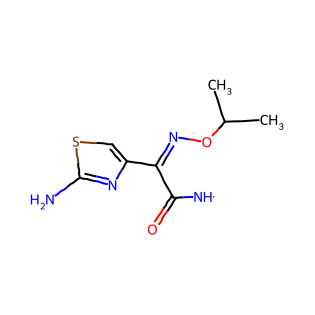 CC(C)ON=C(C([NH])=O)c1csc(N)n1